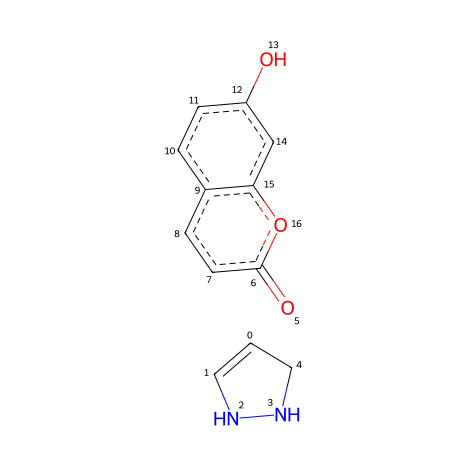 C1=CNNC1.O=c1ccc2ccc(O)cc2o1